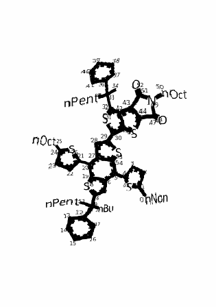 CCCCCCCCCc1ccc(-c2c3cc(C(CCCC)(CCCCC)c4ccccc4)sc3c(-c3ccc(CCCCCCCC)s3)c3cc(-c4sc(C(C)(CCCCC)c5ccccc5)c5c6c(sc45)C(=O)N(CCCCCCCC)C6=O)sc23)s1